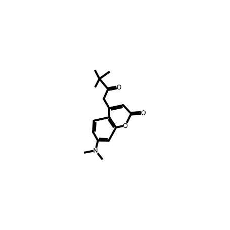 CN(C)c1ccc2c(CC(=O)C(C)(C)C)cc(=O)oc2c1